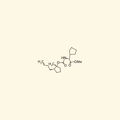 C=CCC[C@@H]1CCC[C@@]1(C)OC(=O)N[C@H](C(=O)OC)C1CCCC1